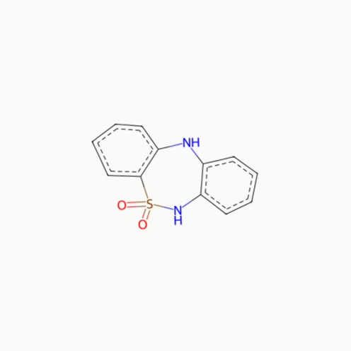 O=S1(=O)Nc2ccccc2Nc2ccccc21